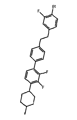 CCc1ccc(CCc2ccc(-c3ccc(C4CCC(C)CC4)c(F)c3F)cc2)cc1F